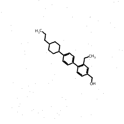 CCCC1CCC(c2ccc(-c3ccc(CO)cc3CC)cc2)CC1